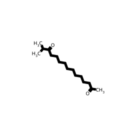 CC(=O)CCCCCCCCCCC(=O)C(C)C